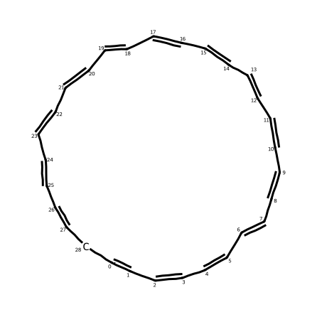 [C]1=C/C=C\C=C/C=C/C=C\C=C\C=C\C=C\C=C\C=C\C=C/C=C/C=C/C=C/C/1